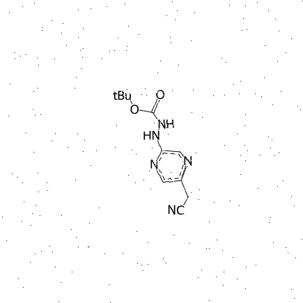 CC(C)(C)OC(=O)NNc1cnc(CC#N)cn1